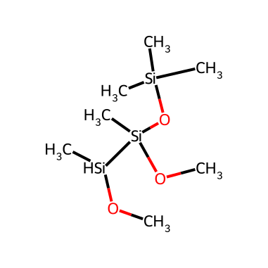 CO[SiH](C)[Si](C)(OC)O[Si](C)(C)C